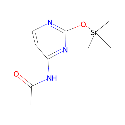 CC(=O)Nc1ccnc(O[Si](C)(C)C)n1